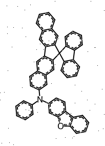 c1ccc(N(c2ccc3cc4c(cc3c2)C2(c3ccccc3-c3ccccc32)c2cc3ccccc3cc2-4)c2ccc3c(c2)oc2ccccc23)cc1